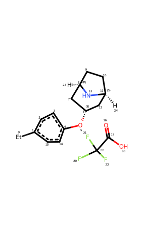 CCc1ccc(O[C@@H]2C[C@H]3CC[C@@H](C2)N3)cc1.O=C(O)C(F)(F)F